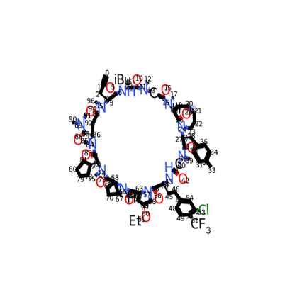 C#CC[C@H]1C(=O)N[C@@H]([C@@H](C)CC)C(=O)N(C)CC(=O)N(C)[C@H]2C/C=C\CCN(C2=O)[C@@H](Cc2ccc(C)cc2)C(=O)N(C)CC(=O)N[C@@H](CCc2ccc(C(F)(F)F)c(Cl)c2)C(=O)N2C[C@H](OCC)C[C@H]2C(=O)N(C)C2(CCC2)C(=O)N(C)[C@@H](C2CCCC2)C(=O)N(C)[C@H](C(=O)N(C)C)CC(=O)N1C